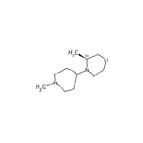 C[C@H]1COCCN1C1CCN(C)CC1